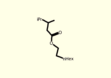 CCCCCCCCOC(=O)CC(C)C(C)C